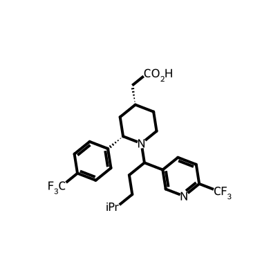 CC(C)CCC(c1ccc(C(F)(F)F)nc1)N1CC[C@@H](CC(=O)O)C[C@H]1c1ccc(C(F)(F)F)cc1